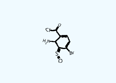 NC1C(C(=O)Cl)=CC=C(Br)C1=S=O